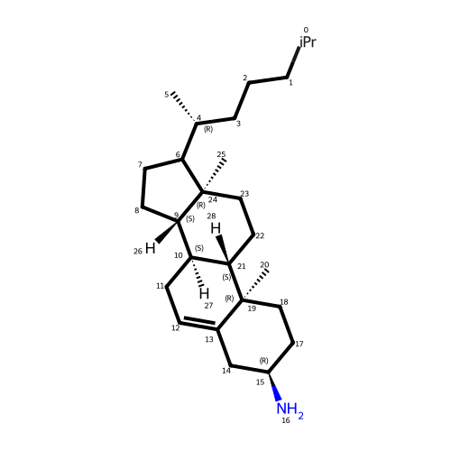 CC(C)CCC[C@@H](C)C1CC[C@H]2[C@@H]3CC=C4C[C@H](N)CC[C@]4(C)[C@H]3CC[C@]12C